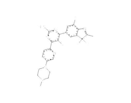 CCC1(CC)C(C)=Nc2c(F)cc(-c3nc(N)nc(-c4ccc(N5CCN(C)CC5)cn4)c3F)cc21